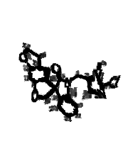 Cn1c(CN2C(=O)C3(COc4cc5c(cc43)CCO5)c3ccccc32)cnc1Cl